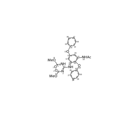 COC(=O)N=C(NC(=O)OC)Nc1cc(Oc2ccccc2)cc(NC(C)=O)c1Oc1ccccc1